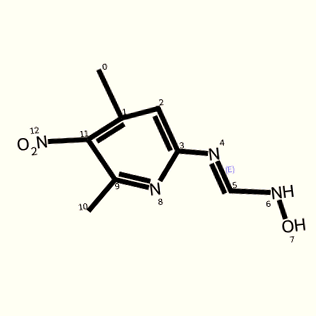 Cc1cc(/N=C/NO)nc(C)c1[N+](=O)[O-]